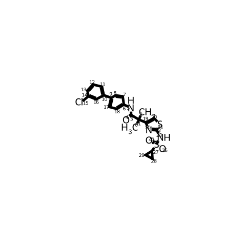 CC(C)(C(=O)Nc1ccc(-c2cccc(Cl)c2)cc1)c1csc(NS(=O)(=O)C2CC2)n1